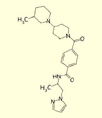 CC1CCCN(C2CCN(C(=O)c3ccc(C(=O)NC(C)Cn4cccn4)cc3)CC2)C1